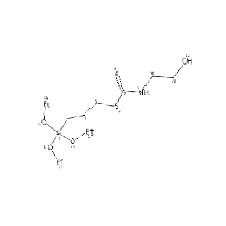 CCO[Si](CCCSC(=S)NCCO)(OCC)OCC